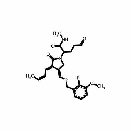 C\C=C/C=C1/C(=O)N(C(CCC=O)C(=O)NC)C/C1=C\OCc1cccc(OC)c1F